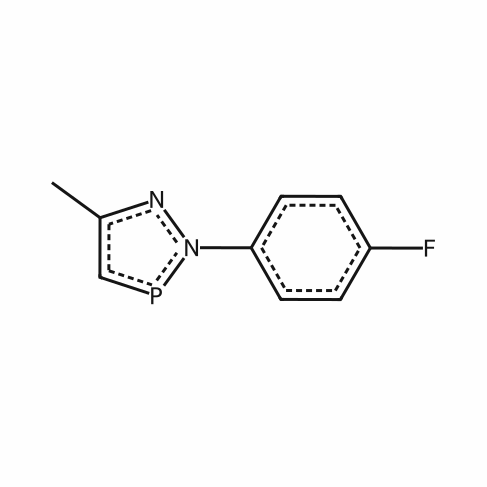 Cc1cpn(-c2ccc(F)cc2)n1